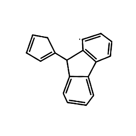 [c]1cccc2c1C(C1=CC=CC1)c1ccccc1-2